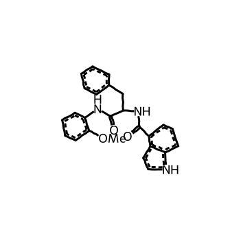 COc1ccccc1NC(=O)C(Cc1ccccc1)NC(=O)c1cccc2[nH]ccc12